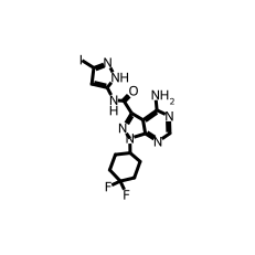 Nc1ncnc2c1c(C(=O)Nc1cc(I)n[nH]1)nn2C1CCC(F)(F)CC1